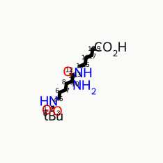 CC(C)(C)OC(=O)NCCCCC(N)C(=O)NCCCCCC(=O)O